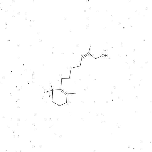 CC(=CCCCCC1=C(C)CCCC1(C)C)CO